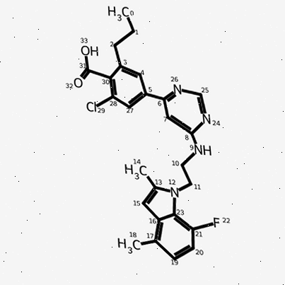 CCCc1cc(-c2cc(NCCn3c(C)cc4c(C)ccc(F)c43)ncn2)cc(Cl)c1C(=O)O